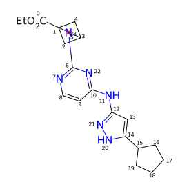 CCOC(=O)C12CC(C1)N(c1nccc(Nc3cc(C4CCCC4)[nH]n3)n1)C2